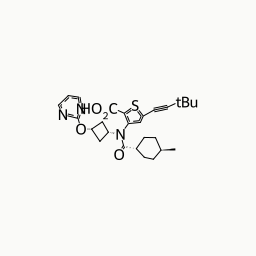 CC(C)(C)C#Cc1cc(N(C(=O)[C@H]2CC[C@H](C)CC2)[C@H]2C[C@@H](Oc3ncccn3)C2)c(C(=O)O)s1